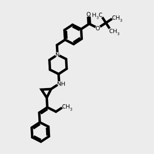 CC/C(=C\c1ccccc1)C1CC1NC1CCN(Cc2ccc(C(=O)OC(C)(C)C)cc2)CC1